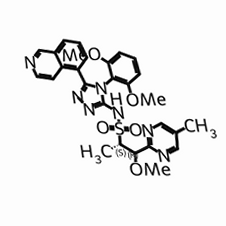 COc1cccc(OC)c1-n1c(NS(=O)(=O)[C@@H](C)[C@H](OC)c2ncc(C)cn2)nnc1-c1cccc2cnccc12